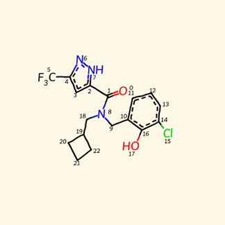 O=C(c1cc(C(F)(F)F)n[nH]1)N(Cc1cccc(Cl)c1O)CC1CCC1